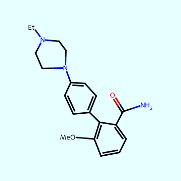 CCN1CCN(c2ccc(-c3c(OC)cccc3C(N)=O)cc2)CC1